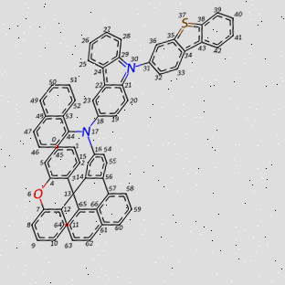 c1ccc2c(c1)Oc1ccccc1C21c2cc(N(c3ccc4c(c3)c3ccccc3n4-c3ccc4c(c3)sc3ccccc34)c3cccc4ccccc34)ccc2-c2cccc3cccc1c23